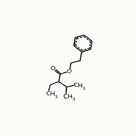 CCC(C(=O)OCCc1ccccc1)C(C)C